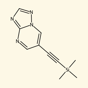 C[Si](C)(C)C#Cc1cnc2ncnn2c1